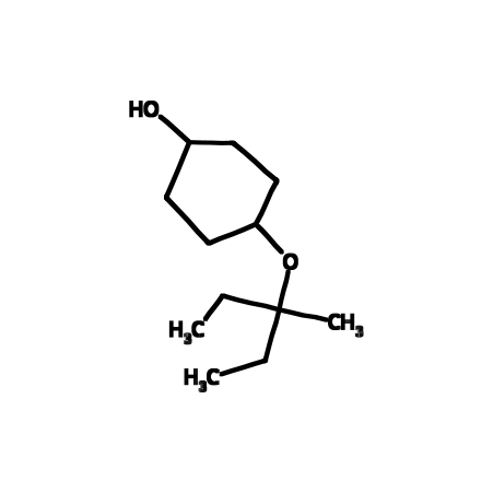 CCC(C)(CC)OC1CCC(O)CC1